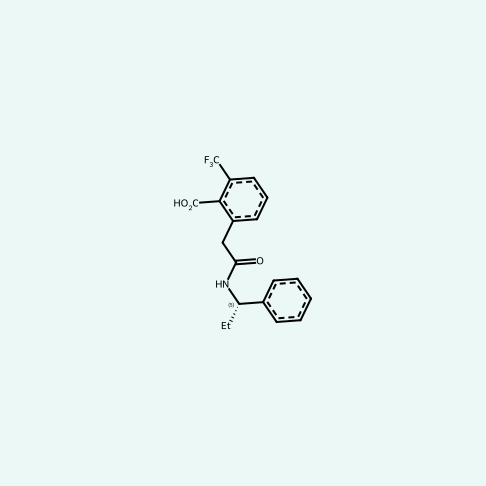 CC[C@H](NC(=O)Cc1cccc(C(F)(F)F)c1C(=O)O)c1ccccc1